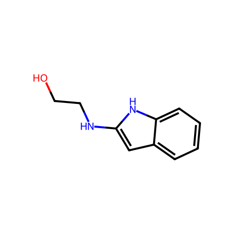 OCCNc1cc2ccccc2[nH]1